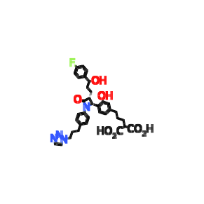 O=C(O)C(CCCc1ccc([C@@H]2[C@@H](CC[C@H](O)c3ccc(F)cc3)C(=O)N2c2ccc(CCCn3ccnn3)cc2)c(O)c1)C(=O)O